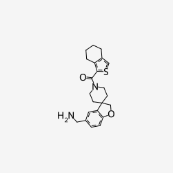 NCc1ccc2c(c1)C1(CCN(C(=O)c3scc4c3CCCC4)CC1)CO2